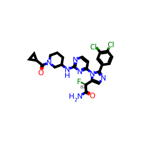 NC(=O)[C@@H](F)c1cnc(-c2ccc(Cl)c(Cl)c2)n1-c1ccnc(NC2CCCN(C(=O)C3CC3)C2)n1